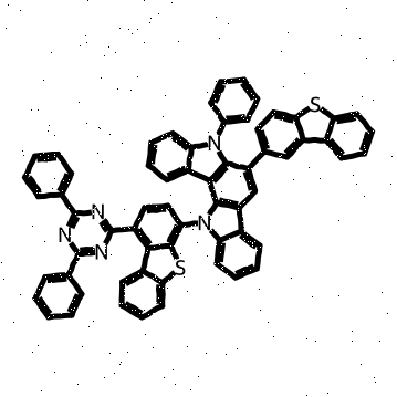 c1ccc(-c2nc(-c3ccccc3)nc(-c3ccc(-n4c5ccccc5c5cc(-c6ccc7sc8ccccc8c7c6)c6c(c7ccccc7n6-c6ccccc6)c54)c4sc5ccccc5c34)n2)cc1